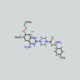 COCCOc1c(OC)cc2c(N)nc(N3CCN(C(=O)CC(N)c4ccc(C#N)cc4)CC3)nc2c1F